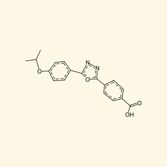 CC(C)Oc1ccc(-c2nnc(-c3ccc(C(=O)O)cc3)o2)cc1